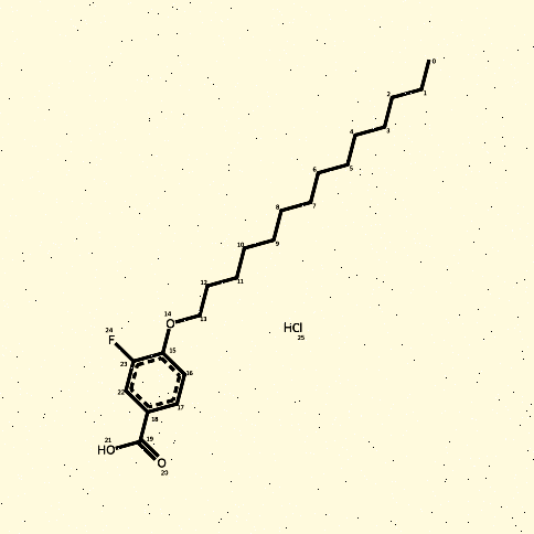 CCCCCCCCCCCCCCOc1ccc(C(=O)O)cc1F.Cl